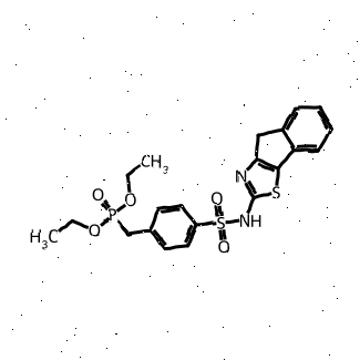 CCOP(=O)(Cc1ccc(S(=O)(=O)Nc2nc3c(s2)-c2ccccc2C3)cc1)OCC